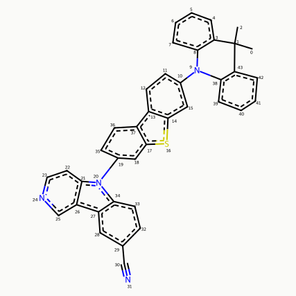 CC1(C)c2ccccc2N(c2ccc3c(c2)sc2cc(-n4c5ccncc5c5cc(C#N)ccc54)ccc23)c2ccccc21